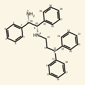 N[C@@H](c1ccccc1)[C@@H](NCCP(c1ccccc1)c1ccccc1)c1ccccc1